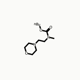 CCCCOC(=O)N(C)CCN1CCOCC1